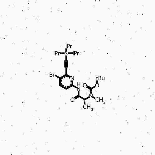 CC(C)S(C#Cc1nc(NC(=O)[C@H](C)N(C)C(=O)OC(C)(C)C)ccc1Br)(C(C)C)C(C)C